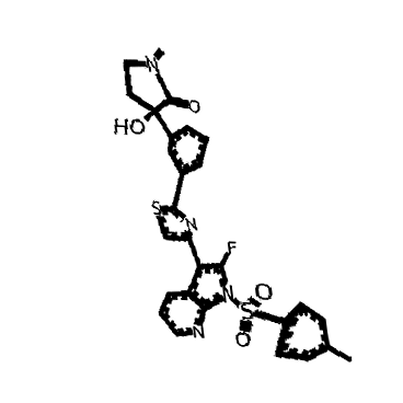 Cc1ccc(S(=O)(=O)n2c(F)c(-c3csc(-c4cccc([C@]5(O)CCN(C)C5=O)c4)n3)c3cccnc32)cc1